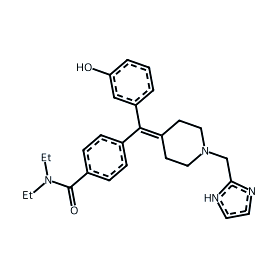 CCN(CC)C(=O)c1ccc(C(=C2CCN(Cc3ncc[nH]3)CC2)c2cccc(O)c2)cc1